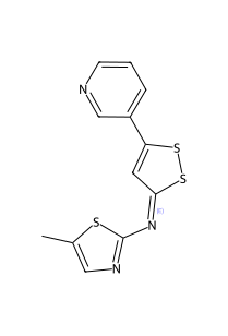 Cc1cnc(/N=c2\cc(-c3cccnc3)ss2)s1